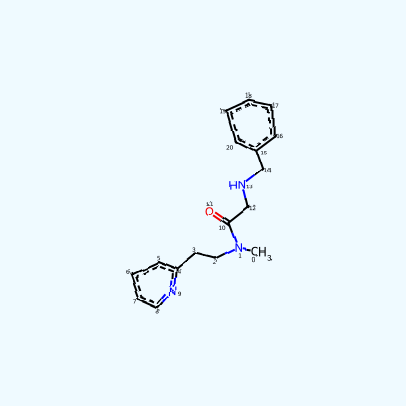 CN(CCc1ccccn1)C(=O)CNCc1ccccc1